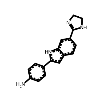 Nc1ccc(-c2cc3ccc(C4=NCCN4)cc3[nH]2)cc1